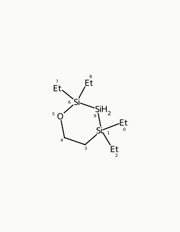 CC[Si]1(CC)CCO[Si](CC)(CC)[SiH2]1